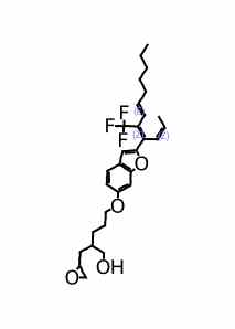 C\C=C/C(=C(\C=C\CCCCC)C(F)(F)F)c1cc2ccc(OCCCC(CO)CC3CO3)cc2o1